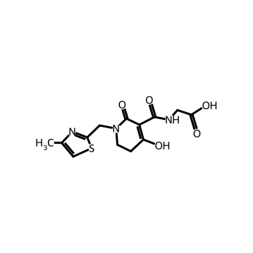 Cc1csc(CN2CCC(O)=C(C(=O)NCC(=O)O)C2=O)n1